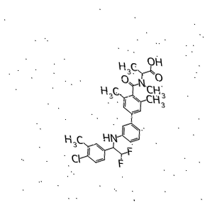 Cc1cc(C(Nc2cccc(-c3cc(C)c(C(=O)N(C)C(C)C(=O)O)c(C)c3)c2)C(F)F)ccc1Cl